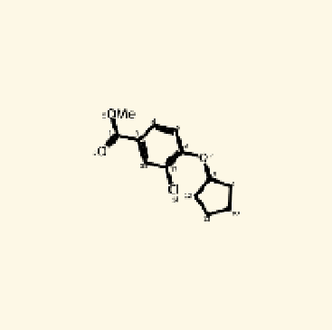 COC(=O)c1ccc(OC2CCCC2)c(Cl)c1